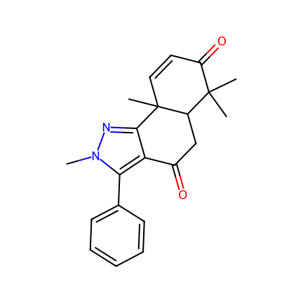 Cn1nc2c(c1-c1ccccc1)C(=O)CC1C(C)(C)C(=O)C=CC21C